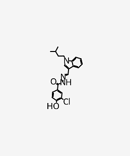 CC(C)CCn1cc(/C=N/NC(=O)c2ccc(O)c(Cl)c2)c2ccccc21